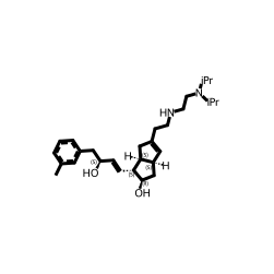 Cc1cccc(C[C@H](O)C=C[C@@H]2[C@H]3CC(CCNCCN(C(C)C)C(C)C)=C[C@H]3C[C@H]2O)c1